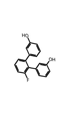 Oc1cccc(-c2cccc(F)c2-c2cccc(O)c2)c1